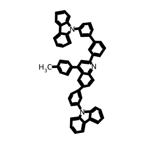 Cc1ccc(-c2cc(-c3cccc(-c4cccc(-n5c6ccccc6c6ccccc65)c4)c3)nc3ccc(-c4cccc(-n5c6ccccc6c6ccccc65)c4)cc23)cc1